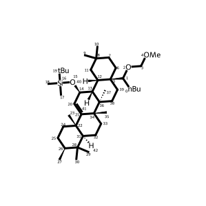 CCCCC(OCOC)[C@]12CCC(C)(C)C[C@H]1[C@H]1[C@H](O[Si](C)(C)C(C)(C)C)C=C3[C@@]4(C)CC[C@H](C)C(C)(C)[C@@H]4CC[C@@]3(C)[C@]1(C)CC2